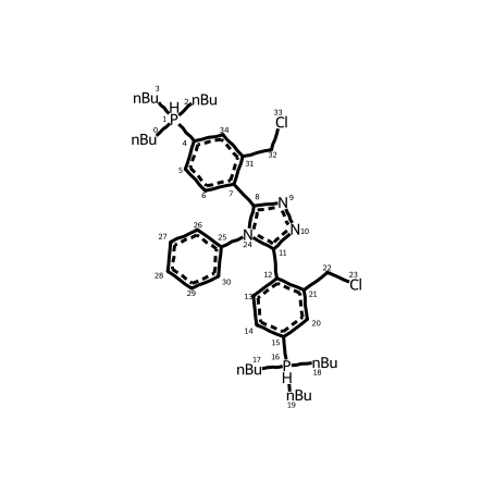 CCCC[PH](CCCC)(CCCC)c1ccc(-c2nnc(-c3ccc([PH](CCCC)(CCCC)CCCC)cc3CCl)n2-c2ccccc2)c(CCl)c1